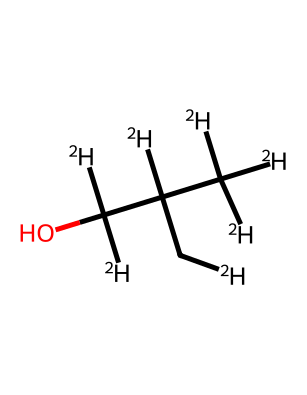 [2H]CC([2H])(C([2H])([2H])[2H])C([2H])([2H])O